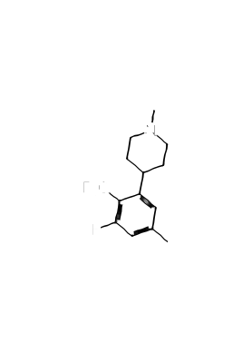 Cc1cc(F)c(C(F)(F)F)c(C2CCN(C)CC2)c1